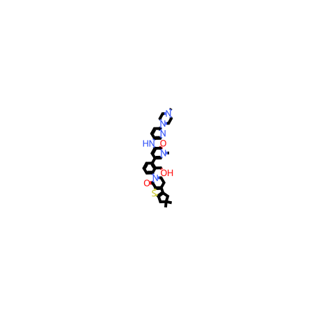 CN1CCN(c2ccc(Nc3cc(-c4cccc(N5CCc6c(sc7c6CC(C)(C)C7)C5=O)c4CO)cn(C)c3=O)cn2)CC1